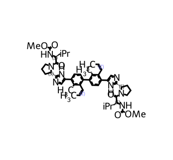 C/C=C\c1c(-c2cnc([C@@H]3CCCN3C(=O)[C@@H](NC(=O)OC)C(C)C)[nH]2)ccc(-c2ccc(-c3cnc([C@@H]4CCCN4C(=O)[C@@H](NC(=O)OC)C(C)C)[nH]3)c(C)c2/C=C\C)c1C